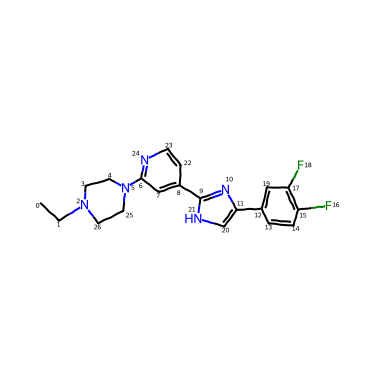 CCN1CCN(c2cc(-c3nc(-c4ccc(F)c(F)c4)c[nH]3)ccn2)CC1